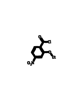 CCOc1cc([N+](=O)[O-])ccc1C(=O)Cl